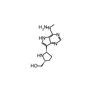 CN(N)c1ncnc2c([C@H]3CC[C@@H](CO)N3)c[nH]c12